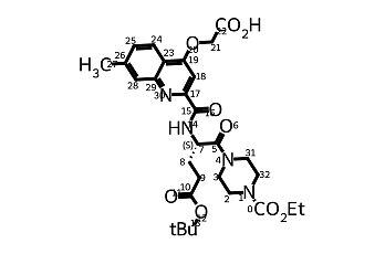 CCOC(=O)N1CCN(C(=O)[C@H](CCC(=O)OC(C)(C)C)NC(=O)c2cc(OCC(=O)O)c3ccc(C)cc3n2)CC1